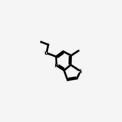 CCOc1cc(C)c2sccc2n1